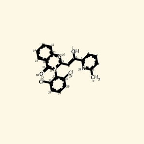 Cc1cccc(C(O)=Cc2nc3ccccc3c(=O)n2-c2c(Cl)cccc2Cl)n1